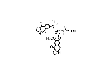 COc1cc2c(cc1OCCP(=O)(CCOc1cc3c(cc1OC)C(=O)N1CCC[C@H]1C=N3)CNC(=O)CCO)N=C[C@@H]1CCCN1C2=O